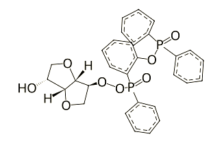 O=P(Oc1ccccc1P(=O)(OO[C@H]1CO[C@H]2[C@@H]1OC[C@H]2O)c1ccccc1)(c1ccccc1)c1ccccc1